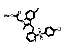 COC(=O)Cn1c(C)c(Cc2cccnc2S(=O)(=O)c2ccc(Cl)cc2)c2cc(F)ccc21